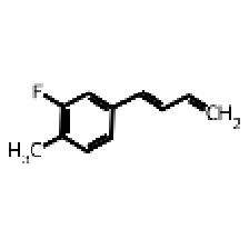 C=C/C=C/c1ccc(C)c(F)c1